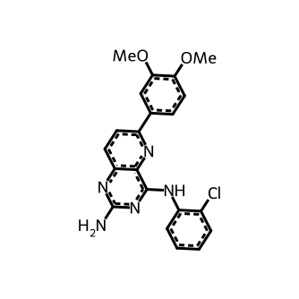 COc1ccc(-c2ccc3nc(N)nc(Nc4ccccc4Cl)c3n2)cc1OC